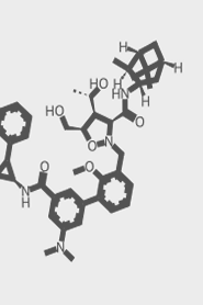 COc1c(CN2O[C@@H](CO)[C@@H]([C@H](C)O)[C@H]2C(=O)N[C@H]2C[C@H]3C[C@@H]([C@@H]2C)C3(C)C)cccc1-c1cc(C(=O)N[C@H]2CC2c2ccccc2)cc(N(C)C)c1